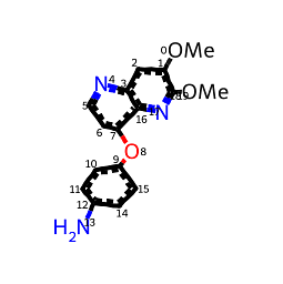 COc1cc2nccc(Oc3ccc(N)cc3)c2nc1OC